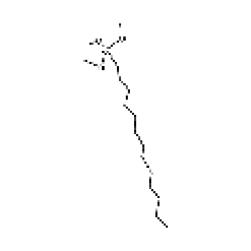 CCCCCCCCCCCCC[Si](OC)(OC)OC